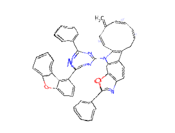 C=C1/C=C\C=C/Cc2c(n(-c3nc(-c4ccccc4)nc(-c4cccc5oc6ccccc6c45)n3)c3c2ccc2nc(-c4ccccc4)oc23)/C=C\1